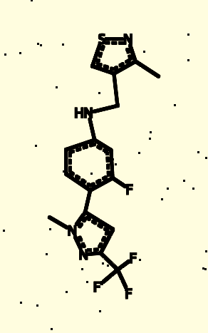 Cc1nscc1CNc1ccc(-c2cc(C(F)(F)F)nn2C)c(F)c1